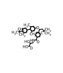 Cc1cc(OC(CC(C)(C)C)c2ccc(C(=O)NC[C@@H](O)C(=O)O)cc2)cc(C)c1-c1ccc(C(C)(C)C)cc1